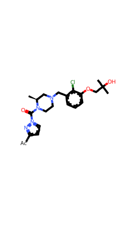 CC(=O)c1ccn(C(=O)N2CCN(Cc3cccc(OCC(C)(C)O)c3Cl)C[C@@H]2C)n1